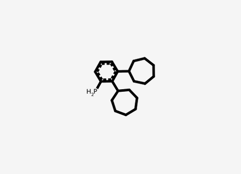 Pc1cccc(C2CCCCCC2)c1C1CCCCCC1